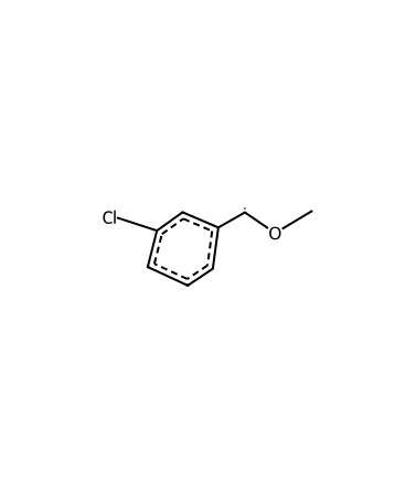 CO[CH]c1cccc(Cl)c1